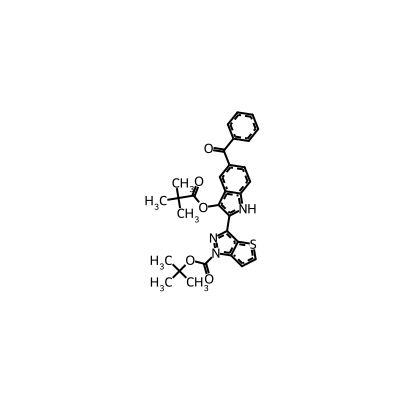 CC(C)(C)OC(=O)n1nc(-c2[nH]c3ccc(C(=O)c4ccccc4)cc3c2OC(=O)C(C)(C)C)c2sccc21